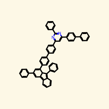 C1=C(c2ccccc2)C=C(c2ccc(-c3ccc(-c4cc(-c5ccc(-c6ccccc6)cc5)nc(-c5ccccc5)n4)cc3)cc2)C2C1=c1ccccc1=C2c1ccccc1